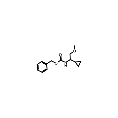 COCC(NC(=O)OCc1ccccc1)C1CC1